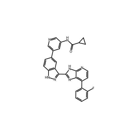 O=C(Nc1cncc(-c2ccc3[nH]nc(-c4nc5c(-c6ccccc6F)ccnc5[nH]4)c3c2)c1)C1CC1